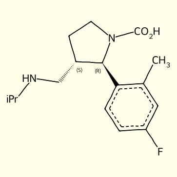 Cc1cc(F)ccc1[C@H]1[C@H](CNC(C)C)CCN1C(=O)O